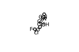 O=C(O)[C@@H](CCn1nnc2ccccc2c1=O)[C@H](O)c1ccc(Oc2ccc(F)cc2Cl)cc1